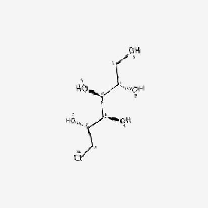 OC[C@H](O)[C@H](O)[C@@H](O)[C@@H](O)CCl